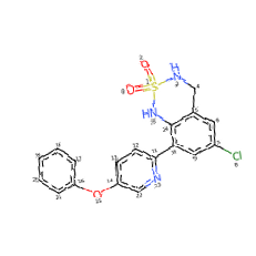 O=S1(=O)NCc2cc(Cl)cc(-c3ccc(Oc4ccccc4)cn3)c2N1